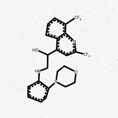 OC(CNc1ccccc1N1CCOCC1)c1cc(C(F)(F)F)nc2c(C(F)(F)F)cccc12